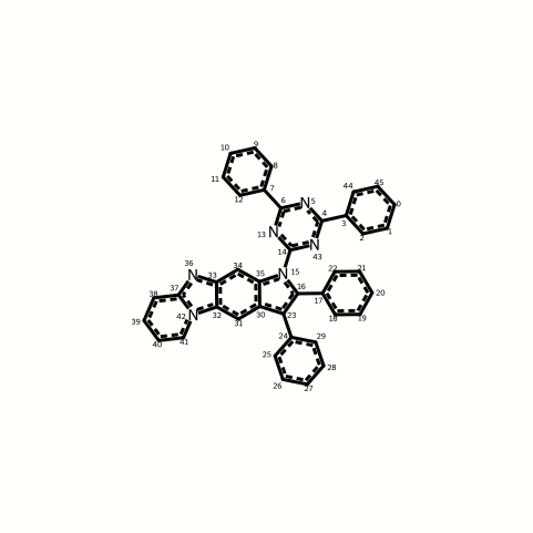 c1ccc(-c2nc(-c3ccccc3)nc(-n3c(-c4ccccc4)c(-c4ccccc4)c4cc5c(cc43)nc3ccccn35)n2)cc1